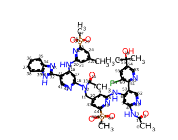 CC(=O)Nc1cc(Nc2cc(CN(C(C)=O)c3cc(Nc4cc(C)cc(S(C)(=O)=O)n4)c(-c4nc5ccccc5[nH]4)cn3)cc(S(C)(=O)=O)n2)c(-c2ncc(C(C)(C)O)cc2F)cn1